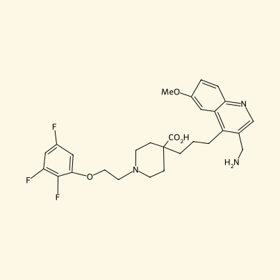 COc1ccc2ncc(CN)c(CCCC3(C(=O)O)CCN(CCOc4cc(F)cc(F)c4F)CC3)c2c1